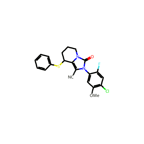 COc1cc(-n2c(C#N)c3n(c2=O)CCCC3Sc2ccccc2)c(F)cc1Cl